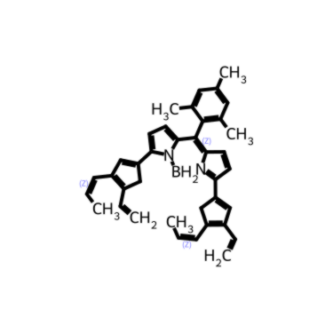 Bn1c(C2=CC(/C=C\C)=C(C=C)C2)ccc1/C(=C1/C=CC(C2=CC(C=C)=C(/C=C\C)C2)=N1)c1c(C)cc(C)cc1C